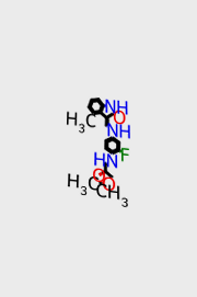 Cc1cccc2c1C(=CNc1ccc(NCC3COC(C)(C)O3)c(F)c1)C(=O)N2